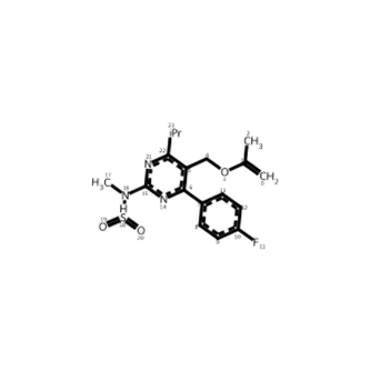 C=C(C)OCc1c(-c2ccc(F)cc2)nc(N(C)[SH](=O)=O)nc1C(C)C